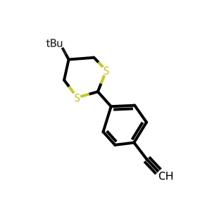 C#Cc1ccc(C2SCC(C(C)(C)C)CS2)cc1